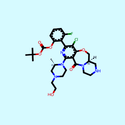 C[C@H]1CN(CCO)CCN1c1nc(-c2c(F)cccc2OC(=O)OC(C)(C)C)c(Cl)c2c1C(=O)N1CCNC[C@@H]1CO2